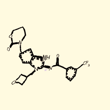 O=C(/N=c1\[nH]c2cc(N3CCCOC3=O)ccc2n1CC1COC1)c1cccc(C(F)(F)F)c1